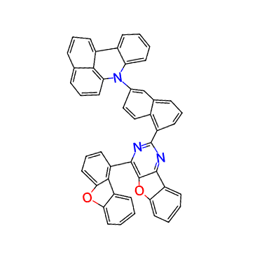 c1ccc2c(c1)-c1cccc3cccc(c13)N2c1ccc2c(-c3nc(-c4cccc5oc6ccccc6c45)c4oc5ccccc5c4n3)cccc2c1